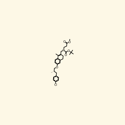 COC(=O)CCN(CC1=C(C)c2ccc(OC[C@@H](C)Cc3ccc(Cl)cc3)cc2CC1)C(=O)OC(C)(C)C